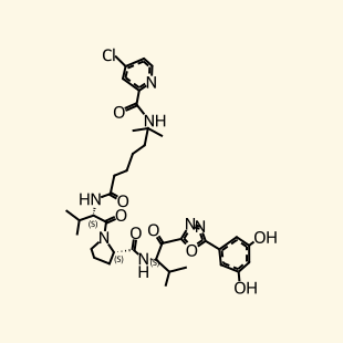 CC(C)[C@H](NC(=O)[C@@H]1CCCN1C(=O)[C@@H](NC(=O)CCCCC(C)(C)NC(=O)c1cc(Cl)ccn1)C(C)C)C(=O)c1nnc(-c2cc(O)cc(O)c2)o1